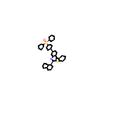 O=P(c1ccccc1)(c1ccccc1)c1ccc(-c2ccc3c(c2)nc(-c2cccc4ccccc24)c2sc4ccccc4c23)cc1